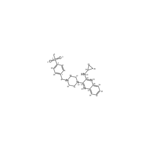 CS(=O)(=O)c1ccc(CN2CCN(c3nc4ccccc4nc3NC3CC3)CC2)cc1